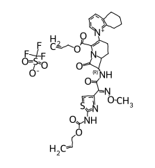 C=CCOC(=O)Nc1nc(C(=NOC)C(=O)N[C@H]2C(=O)N3C(C(=O)OCC=C)=C([n+]4cccc5c4CCCC5)CCC23)cs1.O=S(=O)([O-])C(F)(F)F